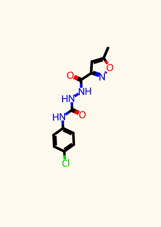 Cc1cc(C(=O)NNC(=O)Nc2ccc(Cl)cc2)no1